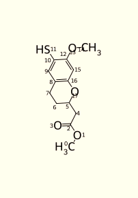 COC(=O)CC1CCc2cc(S)c(OC)cc2O1